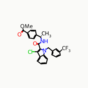 COC(=O)c1ccc([C@H](C)NC(=O)c2c(Cl)c3ccccc3n2Cc2cccc(C(F)(F)F)c2)cc1